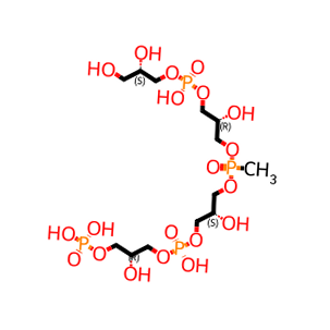 CP(=O)(OC[C@@H](O)COP(=O)(O)OC[C@@H](O)CO)OC[C@H](O)COP(=O)(O)OC[C@H](O)COP(=O)(O)O